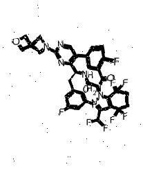 NC(=O)c1cc(-c2cnc(N3CC4(COC4)C3)nc2[C@H](Cc2cc(F)cc(F)c2)NC(=O)Cn2nc(C(F)F)c3c2C(F)(F)CCC3(F)F)ccc1F